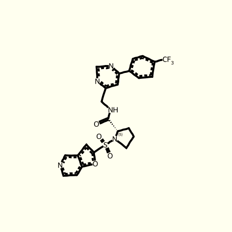 O=C(NCc1cc(-c2ccc(C(F)(F)F)cc2)ncn1)[C@@H]1CCCN1S(=O)(=O)c1cc2cnccc2o1